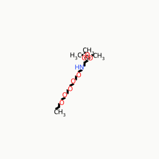 CCCCOCCOCCOCCOCCOCCNCCC[Si](OCC)(OCC)OCC